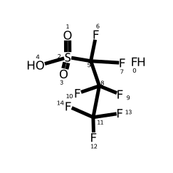 F.O=S(=O)(O)C(F)(F)C(F)(F)C(F)(F)F